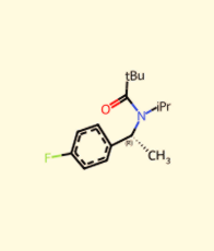 CC(C)N(C(=O)C(C)(C)C)[C@H](C)c1ccc(F)cc1